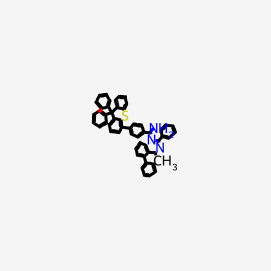 CC(/N=C(\N=C(/N)c1ccc(-c2cccc3c2Sc2ccccc2C3(c2ccccc2)c2ccccc2)cc1)c1ccccc1)c1ccccc1-c1ccccc1